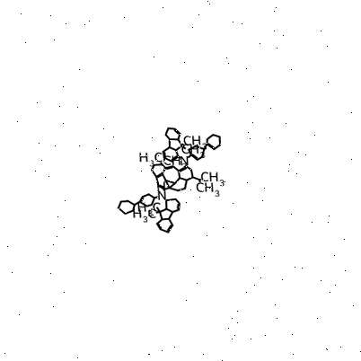 CC(C)C1CC(N(C2=CCC(C3=CCCCC3)CC2)C2=CC=CC3C4CCC=CC4C(C)(C)C23)=C2C=C3C4=C(C=C(N(C5CC=C(C6CCCCC6)CC5)C5CC=CC6C7C=CC=CC7C(C)(C)C65)C56CCC1C2C5[C@H]46)CCC3(C)C